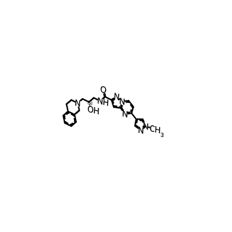 Cn1cc(-c2ccn3nc(C(=O)NC[C@H](O)CN4CCc5ccccc5C4)cc3n2)cn1